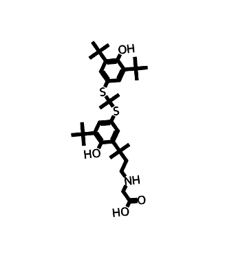 CC(C)(Sc1cc(C(C)(C)C)c(O)c(C(C)(C)C)c1)Sc1cc(C(C)(C)C)c(O)c(C(C)(C)CCNCC(=O)O)c1